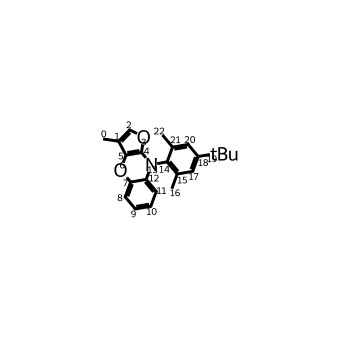 Cc1coc2c1Oc1ccccc1N2c1c(C)cc(C(C)(C)C)cc1C